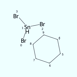 [Br][SnH]([Br])[Br].[CH]1CCCCC1